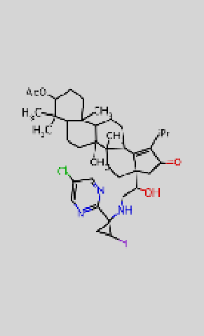 CC(=O)OC1CCC2(C)C(CCC3(C)C2CCC2C4=C(C(C)C)C(=O)CC4(C(O)CNC4(c5ncc(Cl)cn5)CC4I)CCC23C)C1(C)C